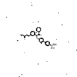 CN(C)c1ccc(-c2ccc(CN(C(=O)C3CCCCC3)c3cccc(C=CC(=O)O)c3)cc2F)cc1